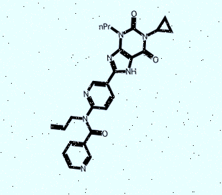 C=CCN(C(=O)c1cccnc1)c1ccc(-c2nc3c([nH]2)c(=O)n(C2CC2)c(=O)n3CCC)cn1